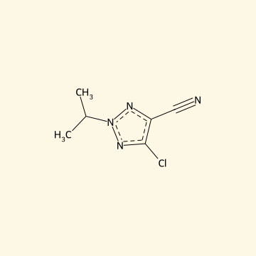 CC(C)n1nc(Cl)c(C#N)n1